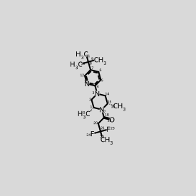 C[C@@H]1CN(c2ccc(C(C)(C)C)cn2)C[C@H](C)N1C(=O)CC(C)(F)F